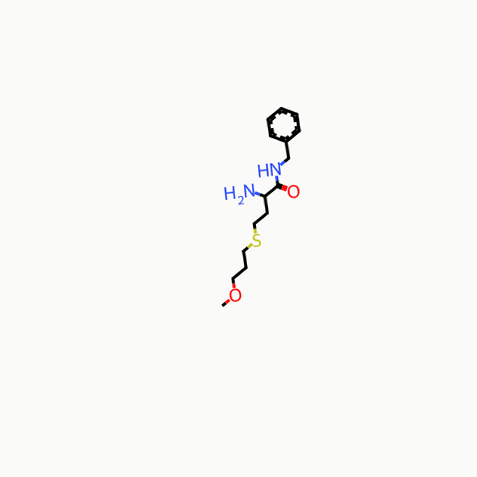 COCCCSCCC(N)C(=O)NCc1ccccc1